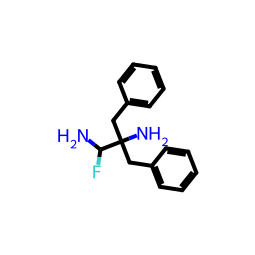 NC(F)C(N)(Cc1ccccc1)Cc1ccccc1